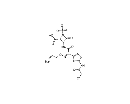 C=CCON=C(C(=O)NC1C(=O)N(S(=O)(=O)[O-])C1C(=O)OC)c1csc(NC(=O)CCl)n1.[Na+]